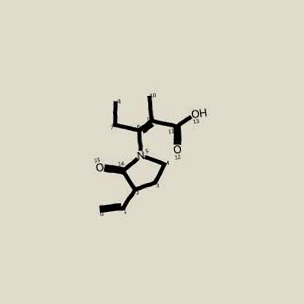 C=CC1CCN(C(CC)=C(C)C(=O)O)C1=O